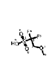 COCC(F)(F)S(=O)(=O)O